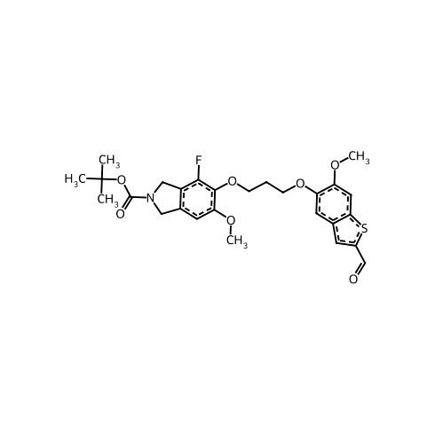 COc1cc2sc(C=O)cc2cc1OCCCOc1c(OC)cc2c(c1F)CN(C(=O)OC(C)(C)C)C2